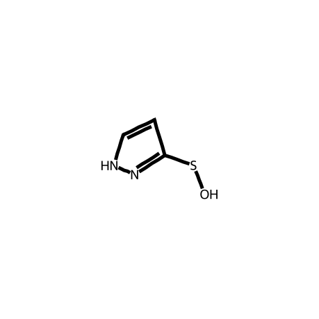 OSc1cc[nH]n1